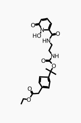 CCOC(=O)Cc1ccc(C(C)(C)OC(=O)NCCNC(=O)c2cccc(=O)n2O)cc1